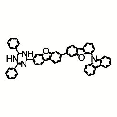 c1ccc(C2=NC(c3ccc4c(c3)oc3cc(-c5ccc6c(c5)oc5c(-n7c8ccccc8c8ccccc87)cccc56)ccc34)NC(c3ccccc3)N2)cc1